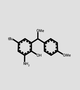 COc1ccc(C(OC)c2cc(C(C)(C)C)cc(N)c2O)cc1